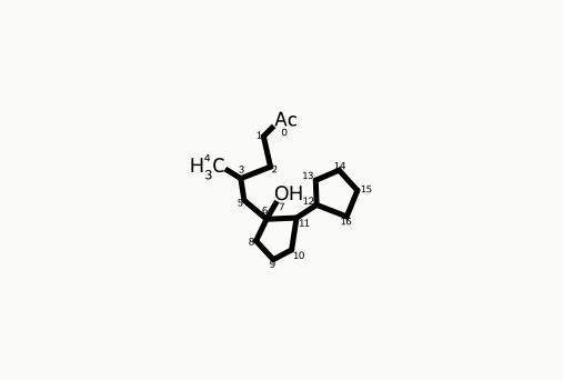 CC(=O)CCC(C)CC1(O)CCCC1C1CCCC1